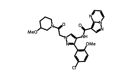 COc1ccc(Cl)cc1-c1nn(CC(=O)N2CCCC(OC)C2)cc1NC(=O)c1cnn2cccnc12